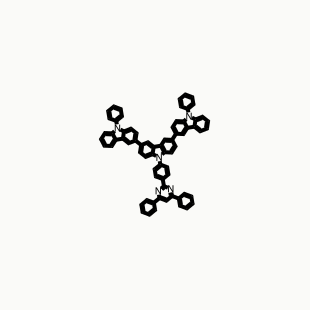 c1ccc(-c2cc(-c3ccccc3)nc(-c3ccc(-n4c5ccc(-c6ccc7c(c6)c6ccccc6n7-c6ccccc6)cc5c5cc(-c6ccc7c(c6)c6ccccc6n7-c6ccccc6)ccc54)cc3)n2)cc1